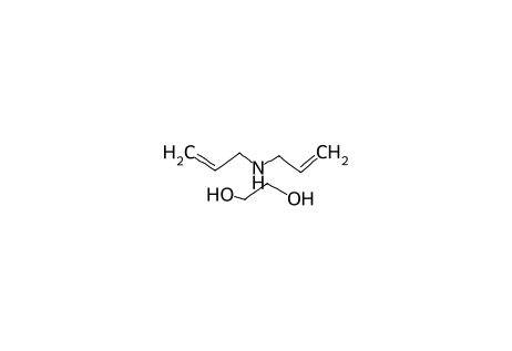 C=CCNCC=C.OCCO